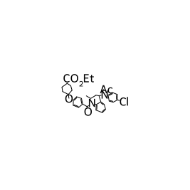 CCOC(=O)C1CCC(Oc2ccc(C(=O)N3c4ccccc4C(N(C(C)=O)c4ccc(Cl)cc4)CC3C)cc2)CC1